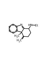 C=C1CCC(NCC)C2=Nc3ccccc3C12C